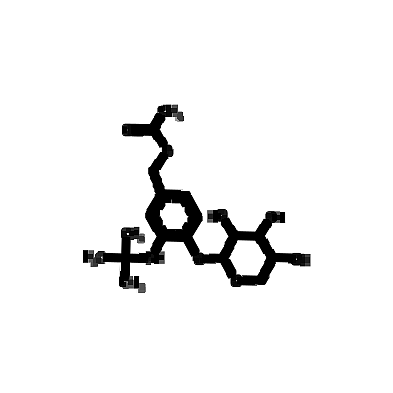 CC(=O)OCc1ccc(OC2OCC(O)C(O)C2O)c(NC(C)(C)C)c1